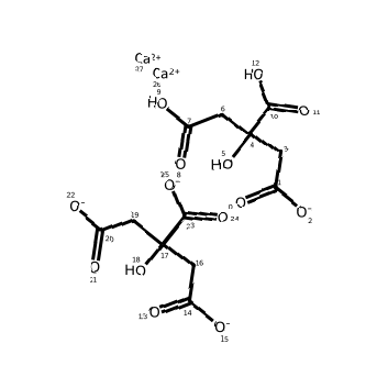 O=C([O-])CC(O)(CC(=O)O)C(=O)O.O=C([O-])CC(O)(CC(=O)[O-])C(=O)[O-].[Ca+2].[Ca+2]